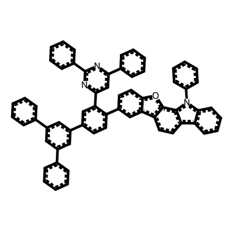 c1ccc(-c2cc(-c3ccccc3)cc(-c3ccc(-c4ccc5oc6c(ccc7c8ccccc8n(-c8ccccc8)c76)c5c4)c(-c4cc(-c5ccccc5)nc(-c5ccccc5)n4)c3)c2)cc1